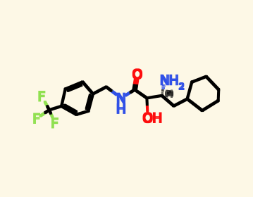 N[C@H](CC1CCCCC1)C(O)C(=O)NCc1ccc(C(F)(F)F)cc1